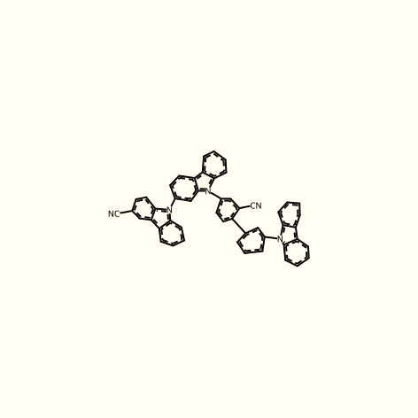 N#Cc1ccc2c(c1)c1ccccc1n2-c1ccc2c3ccccc3n(-c3ccc(-c4cccc(-n5c6ccccc6c6ccccc65)c4)c(C#N)c3)c2c1